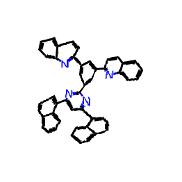 c1ccc2nc(-c3cc(-c4ccc5ccccc5n4)cc(-c4nc(-c5cccc6ccccc56)cc(-c5cccc6ccccc56)n4)c3)ccc2c1